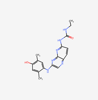 CCNC(=O)Nc1ccc2ncc(Nc3cc(C)c(O)cc3C)nc2n1